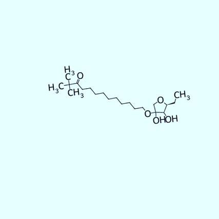 CC[C@@H]1OCC(O)(OCCCCCCCCCCC(=O)C(C)(C)C)C1O